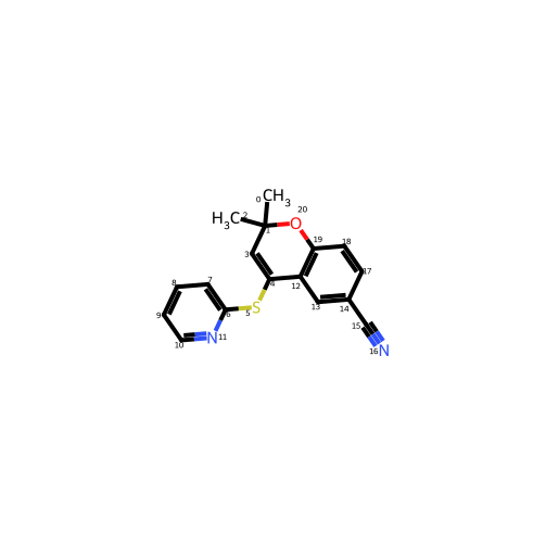 CC1(C)C=C(Sc2ccccn2)c2cc(C#N)ccc2O1